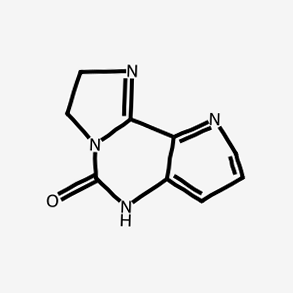 O=C1Nc2cccnc2C2=NCCN12